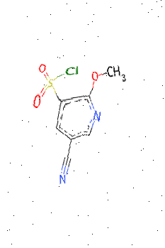 COc1ncc(C#N)cc1S(=O)(=O)Cl